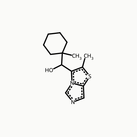 Cc1sc2cncn2c1C(O)C1(C)CCCCC1